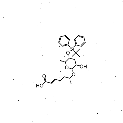 C[C@H](CC/C=C/C(=O)O)O[C@@H]1O[C@@H](C)[C@H](O[Si](c2ccccc2)(c2ccccc2)C(C)(C)C)C[C@H]1O